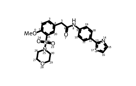 COc1ccc(CC(=O)Nc2ccc(-c3nccs3)cc2)cc1S(=O)(=O)N1CCOCC1